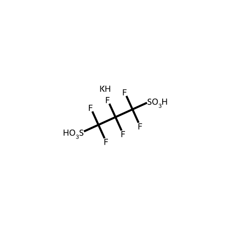 O=S(=O)(O)C(F)(F)C(F)(F)C(F)(F)S(=O)(=O)O.[KH]